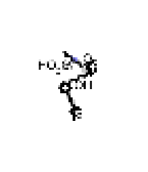 C=C/C=C(/CCN1C(=O)SCCN1CCC(O)Cc1cccc(C#Cc2csc(C)c2)c1)SC(=O)O